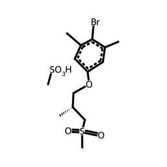 CS(=O)(=O)O.Cc1cc(OC[C@@H](C)CS(C)(=O)=O)cc(C)c1Br